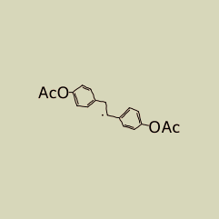 CC(=O)Oc1ccc([CH]Cc2ccc(OC(C)=O)cc2)cc1